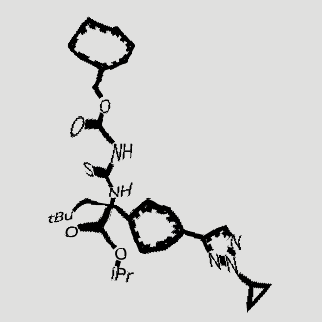 CC(C)OC(=O)[C@](CC(C)(C)C)(NC(=S)NC(=O)OCc1ccccc1)c1ccc(-c2cnn(C3CC3)n2)cc1